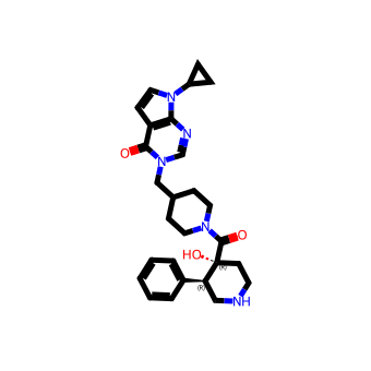 O=C(N1CCC(Cn2cnc3c(ccn3C3CC3)c2=O)CC1)[C@@]1(O)CCNC[C@H]1c1ccccc1